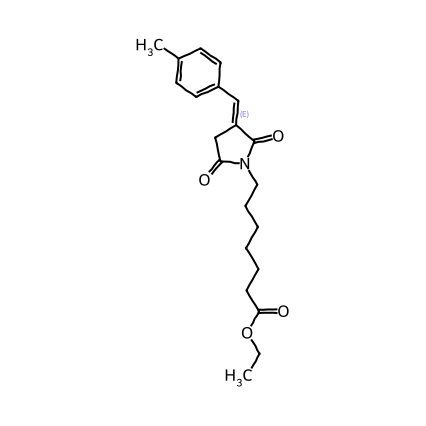 CCOC(=O)CCCCCCN1C(=O)C/C(=C\c2ccc(C)cc2)C1=O